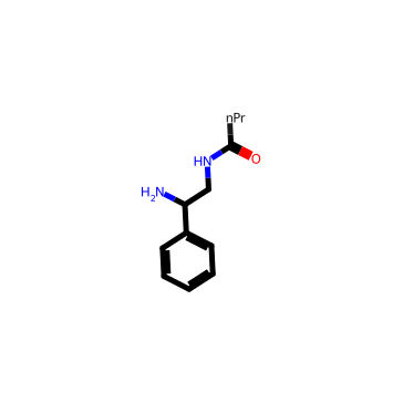 CCCC(=O)NCC(N)c1ccccc1